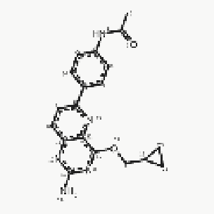 CC(=O)Nc1ccc(-c2ccc3nc(N)nc(OCC4CC4)c3n2)cc1